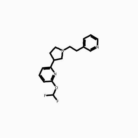 FC(F)Oc1cccc(C2CCN(CCc3[c]nccc3)C2)n1